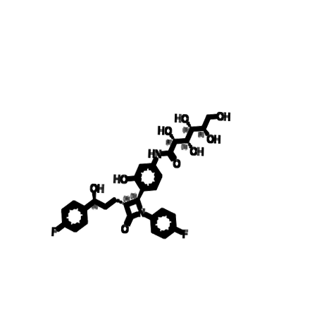 O=C(Nc1ccc([C@@H]2[C@@H](CC[C@H](O)c3ccc(F)cc3)C(=O)N2c2ccc(F)cc2)c(O)c1)[C@H](O)[C@@H](O)[C@H](O)[C@H](O)CO